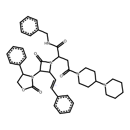 O=C(NCc1ccccc1)C(CC(=O)N1CCC(N2CCCCC2)CC1)N1C(=O)C(N2C(=O)OCC2c2ccccc2)C1/C=C/c1ccccc1